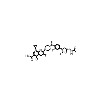 CC(=O)NC[C@@H]1CN(c2ccc(NC3CCN(c4nc5c(cc4F)c(=O)c(C(=O)O)cn5C4CC4)CC3)c(F)c2)C(=O)O1